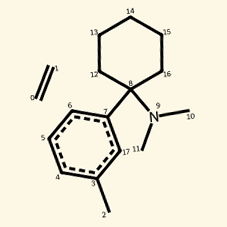 C=C.Cc1cccc(C2(N(C)C)CCCCC2)c1